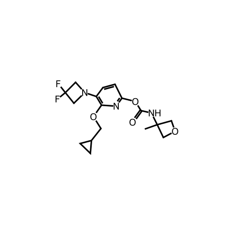 CC1(NC(=O)Oc2ccc(N3CC(F)(F)C3)c(OCC3CC3)n2)COC1